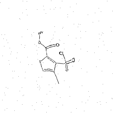 CCCOC(=O)c1scc(C)c1S(=O)(=O)Cl